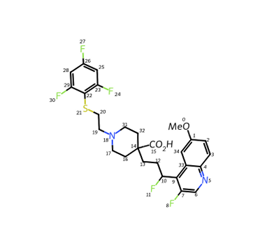 COc1ccc2ncc(F)c(C(F)CCC3(C(=O)O)CCN(CCSc4c(F)cc(F)cc4F)CC3)c2c1